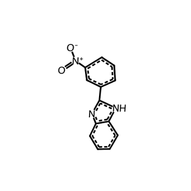 O=[N+]([O-])c1cccc(-c2nc3ccccc3[nH]2)c1